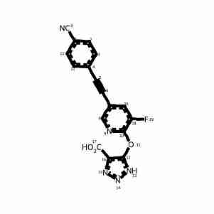 N#Cc1ccc(C#Cc2cnc(Oc3[nH]nnc3C(=O)O)c(F)c2)cc1